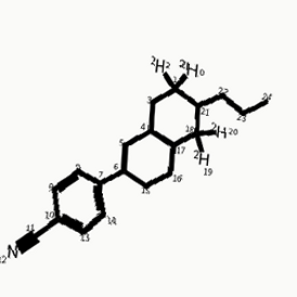 [2H]C1([2H])CC2CC(c3ccc(C#N)cc3)CCC2C([2H])([2H])C1CCC